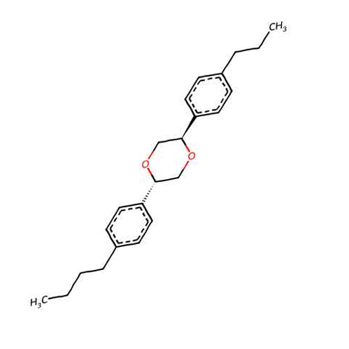 CCCCc1ccc([C@H]2CO[C@H](c3ccc(CCC)cc3)CO2)cc1